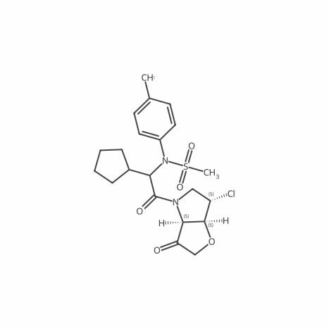 [CH]c1ccc(N(C(C(=O)N2C[C@H](Cl)[C@H]3OCC(=O)[C@H]32)C2CCCC2)S(C)(=O)=O)cc1